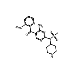 COc1cccnc1C(=O)c1cnc(N(C2CCNCC2)S(C)(=O)=O)nc1N